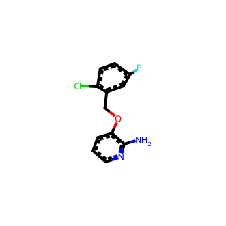 Nc1ncccc1OCc1cc(F)ccc1Cl